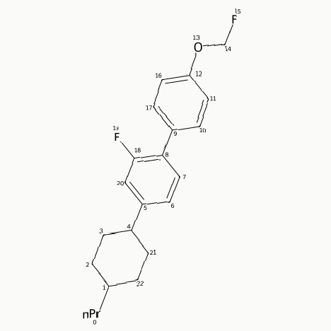 CCCC1CCC(c2ccc(-c3ccc(OCF)cc3)c(F)c2)CC1